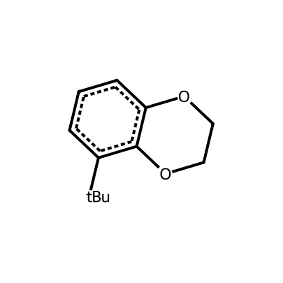 CC(C)(C)c1cccc2c1OCCO2